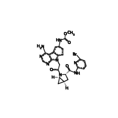 COC(=O)Nc1ccc2c(c1)c1c(N)ncnc1n2CC(=O)N1[C@@H]2C[C@@H]2C[C@H]1C(=O)Nc1cccc(Br)n1